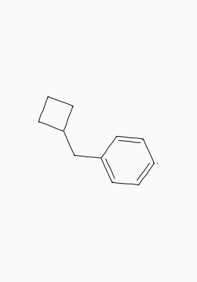 [c]1ccc(CC2CCC2)cc1